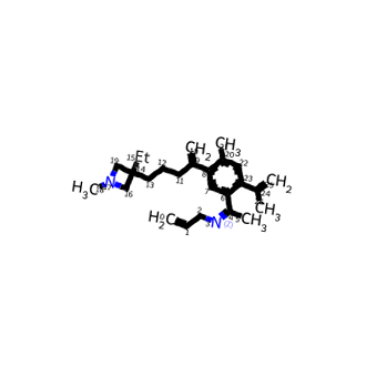 C=CC/N=C(/C)c1cc(C(=C)CCCC2(CC)CN(C)C2)c(C)cc1C(=C)C